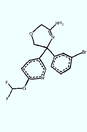 NC1=NC(c2ccc(OC(F)F)nc2)(c2cccc(Br)c2)COC1